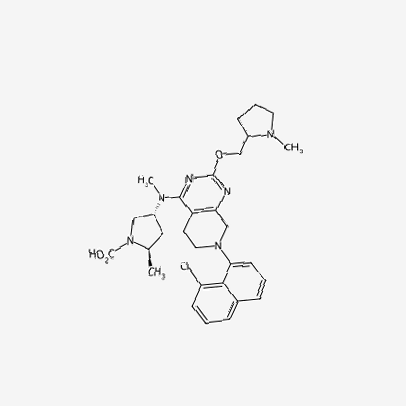 C[C@@H]1C[C@@H](N(C)c2nc(OCC3CCCN3C)nc3c2CCN(c2cccc4cccc(Cl)c24)C3)CN1C(=O)O